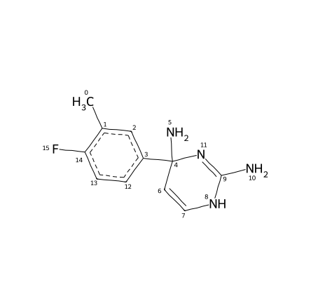 Cc1cc(C2(N)C=CNC(N)=N2)ccc1F